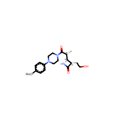 COc1ccc(N2CCN(C(=O)[C@H](C)[C@H]3NC(=O)[C@H]3CCO)CC2)cc1